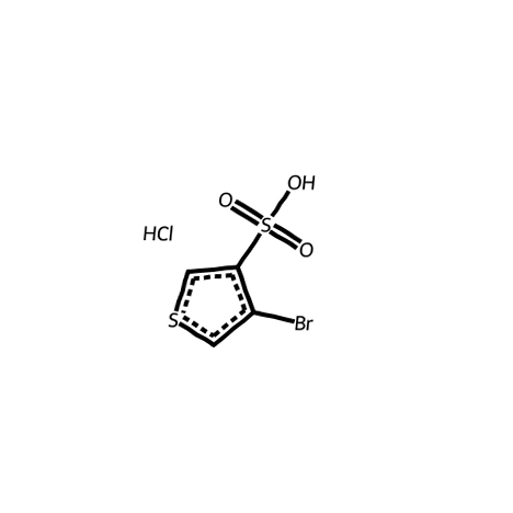 Cl.O=S(=O)(O)c1cscc1Br